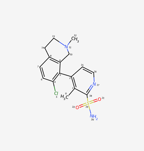 Cc1c(-c2c(Cl)ccc3c2CN(C)CC3)ccnc1S(N)(=O)=O